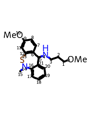 COCCCNC1c2ccc(OC)cc2SN(C)c2ccccc21